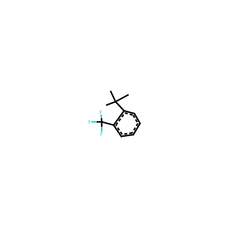 CC(C)(C)c1ccc[c]c1C(F)(F)F